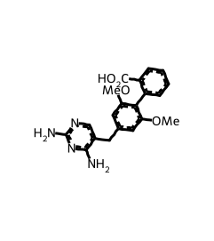 COc1cc(Cc2cnc(N)nc2N)cc(OC)c1-c1ccccc1C(=O)O